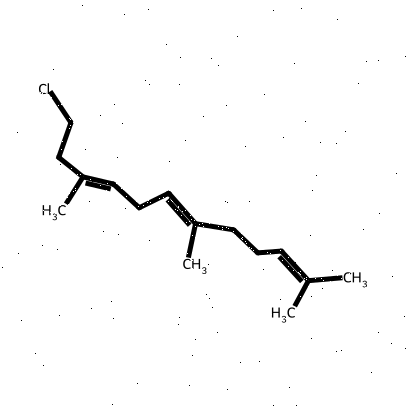 CC(C)=CCC/C(C)=C/C/C=C(\C)CCCl